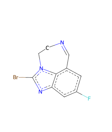 Fc1cc2c3c(c1)nc(Br)n3CCN=C2